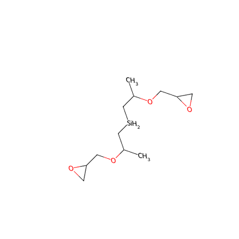 CC(C[SiH2]CC(C)OCC1CO1)OCC1CO1